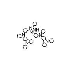 c1ccc(C2N=C(c3cccc(-n4c5ccccc5c5cc6c(cc54)c4ccccc4n6-c4ccccc4)c3)N=C(c3cccc(-n4c5ccccc5c5cc6c(cc54)c4ccccc4n6-c4ccccc4)c3)N2)cc1